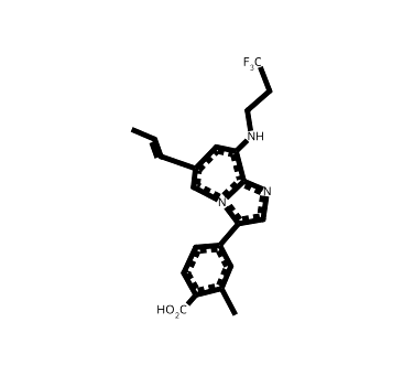 CC=Cc1cc(NCCC(F)(F)F)c2ncc(-c3ccc(C(=O)O)c(C)c3)n2c1